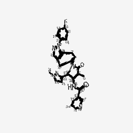 CC1C(=O)N(c2ccc3c(cnn3-c3ccc(F)cc3)c2)C(c2ccn(C)n2)C1NC(=O)c1cccnc1